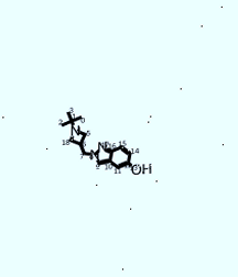 CC(C)(C)N1CC(Cn2cc3cc(O)ccc3n2)C1